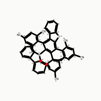 N#Cc1cc(C#N)c(-c2c(-n3c4ccccc4c4ccccc43)c(-c3c(C#N)cc(C#N)cc3C#N)c3c(sc4ccccc43)c2-c2c(C#N)cc(C#N)cc2C#N)c(C#N)c1